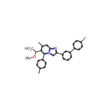 Cc1ccc(-c2c(C(OC(C)(C)C)C(=O)O)c(C)cc3nc(-c4cccc(-c5ccc(F)cc5)c4)cn23)cc1